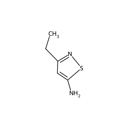 CCc1cc(N)sn1